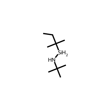 CCC(C)(C)[SiH2]NC(C)(C)C